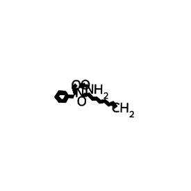 C=CCCCCC[C@H](N)C(=O)N1C(=O)OC[C@@H]1Cc1ccccc1